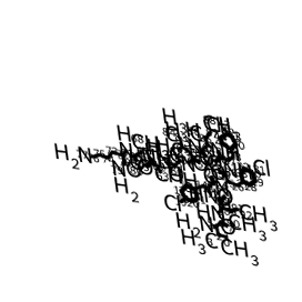 CCC(C)C(N)C(=O)NC(C(=O)NC(Cc1ccc(Cl)cc1)C(=O)NC(Cc1ccc(Cl)cc1)C(=O)NC(Cc1ccc(Cl)cc1)C(=O)NC(C(=O)NC(C(=O)NC(C)C(=O)NC(C)C(=O)NC(C)C(=O)NC(CCCCN)C(N)=O)C(C)CC)C(C)CC)C(C)CC